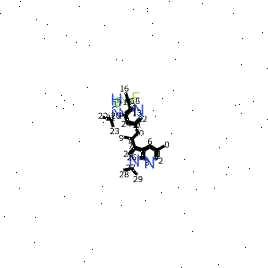 Cc1cnc2c(c1)c(C(C)Cc1cnc(C(C)(F)F)c(NC(C)C)c1)cn2C(C)C